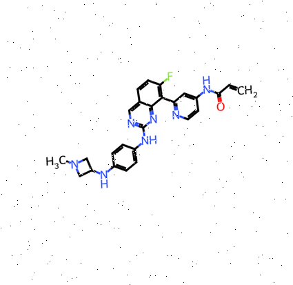 C=CC(=O)Nc1ccnc(-c2c(F)ccc3cnc(Nc4ccc(NC5CN(C)C5)cc4)nc23)c1